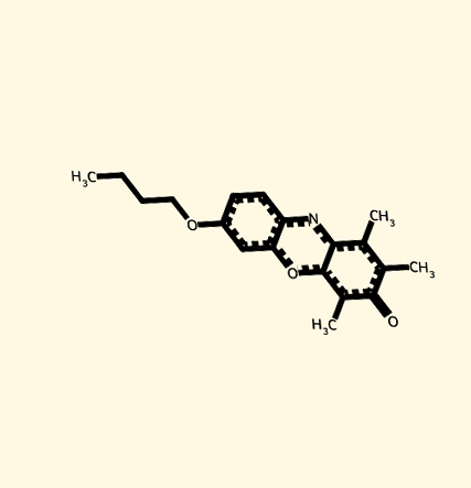 CCCCOc1ccc2nc3c(C)c(C)c(=O)c(C)c-3oc2c1